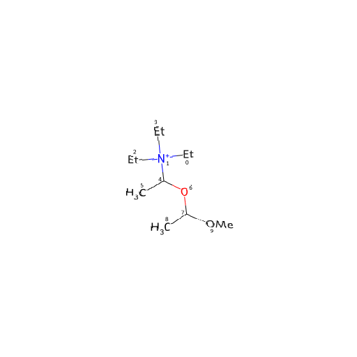 CC[N+](CC)(CC)C(C)OC(C)OC